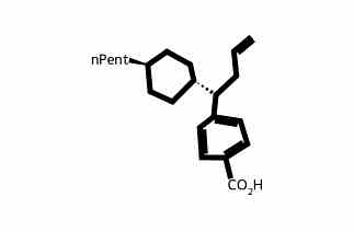 C=CCC(c1ccc(C(=O)O)cc1)[C@H]1CC[C@H](CCCCC)CC1